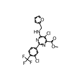 COC(=O)c1nc(-c2ccc(C(F)(F)F)c(Cl)c2)nc(NCc2ccco2)c1Cl